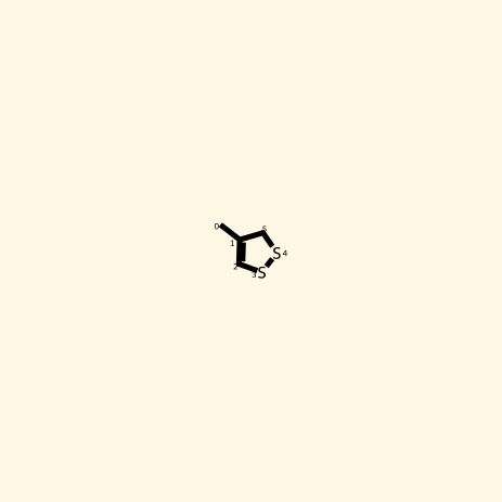 CC1=CSSC1